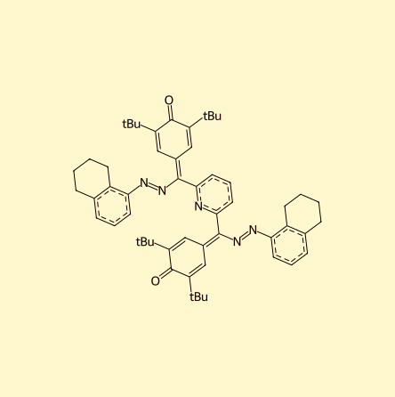 CC(C)(C)C1=CC(=C(/N=N/c2cccc3c2CCCC3)c2cccc(C(/N=N/c3cccc4c3CCCC4)=C3C=C(C(C)(C)C)C(=O)C(C(C)(C)C)=C3)n2)C=C(C(C)(C)C)C1=O